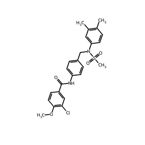 COc1ccc(C(=O)Nc2ccc(CN(c3ccc(C)c(C)c3)S(C)(=O)=O)cc2)cc1Cl